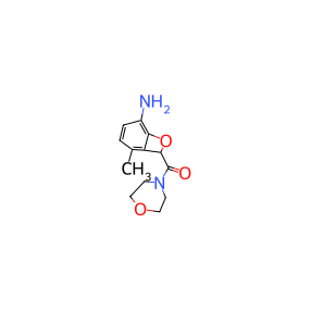 Cc1ccc(N)c2c1C(C(=O)N1CCOCC1)O2